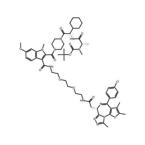 COc1ccc2c(C(=O)NCCOCCOCCNC(=O)C[C@@H]3N=C(c4ccc(Cl)cc4)c4c(sc(C)c4C)-n4c(C)nnc43)c(C(=O)N3CCN(C(=O)[C@@H](NC(=O)[C@H](C)N(C)C(=O)OC(C)(C)C)C4CCCCC4)CC3)n(C)c2c1